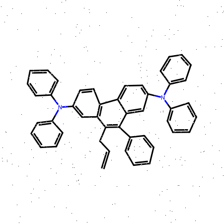 C=CCc1c(-c2ccccc2)c2cc(N(c3ccccc3)c3ccccc3)ccc2c2ccc(N(c3ccccc3)c3ccccc3)cc12